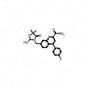 CC1(C)OC(O)N(Cc2ccc3c(-c4ccc(F)cc4)cc(C(N)=O)nc3c2)C1=O